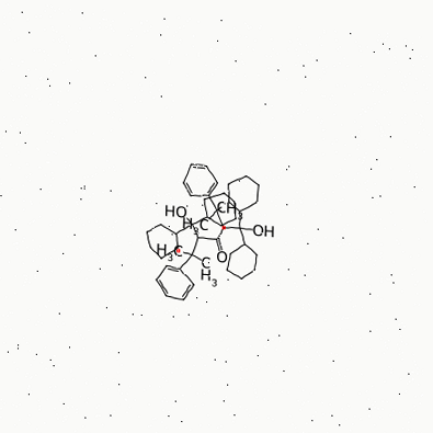 CC(C)(c1ccccc1)C(C(=O)C(C(C)(C)c1ccccc1)C(O)(C1CCCCC1)C1CCCCC1)C(O)(C1CCCCC1)C1CCCCC1